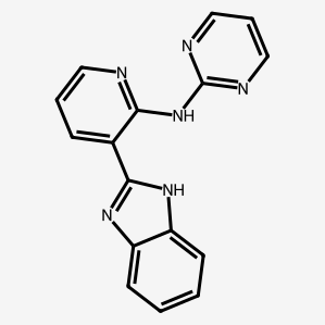 c1cnc(Nc2ncccc2-c2nc3ccccc3[nH]2)nc1